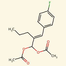 CCC/C(=C\c1ccc(F)cc1)C(OC(C)=O)OC(C)=O